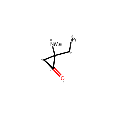 CNC1(CC(C)C)CC1=O